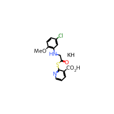 COc1ccc(Cl)cc1NCC(=O)Sc1ncccc1C(=O)O.[KH]